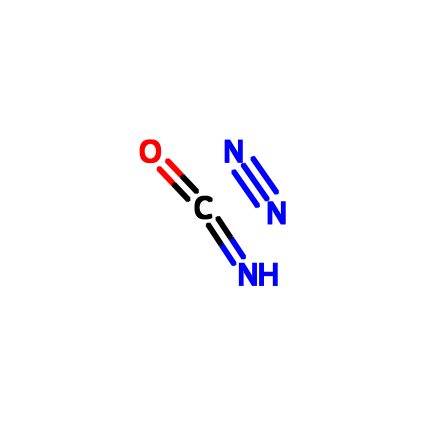 N#N.N=C=O